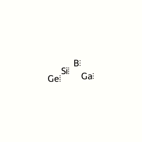 [B].[Ga].[Ge].[Si]